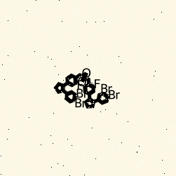 O=S(=O)(Cc1ccc(C2=C(c3ccc(Br)c(Br)c3)CCC2)cc1F)Cc1ccc(C2=C(c3ccc(Br)c(Br)c3)CCC2)cc1F